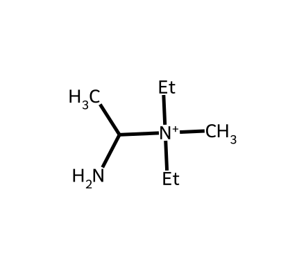 CC[N+](C)(CC)C(C)N